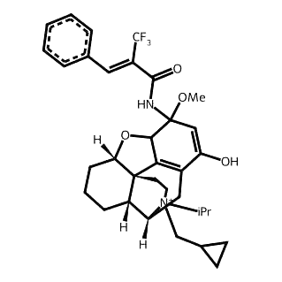 COC1(NC(=O)C(=Cc2ccccc2)C(F)(F)F)C=C(O)C2=C3C1O[C@H]1CCC[C@H]4[C@@H](C2)[N+](CC2CC2)(C(C)C)CC[C@]314